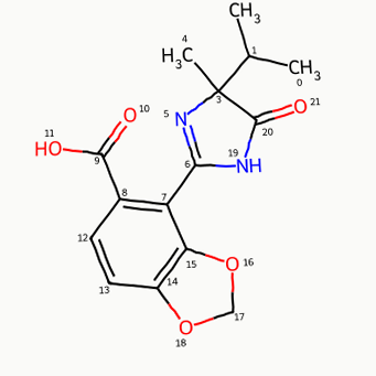 CC(C)C1(C)N=C(c2c(C(=O)O)ccc3c2OCO3)NC1=O